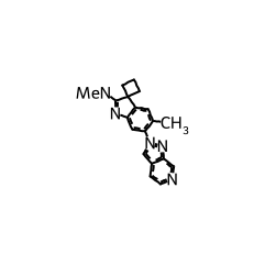 CNC1=Nc2cc(-n3cc4ccncc4n3)c(C)cc2C12CCC2